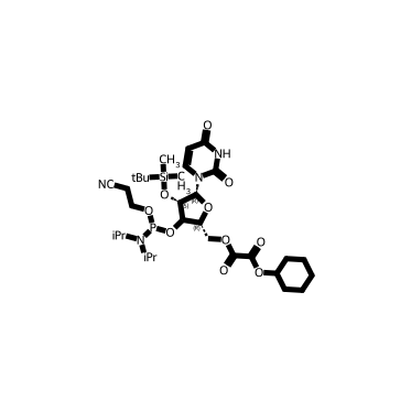 CC(C)N(C(C)C)P(OCCC#N)OC1[C@@H](COC(=O)C(=O)OC2CCCCC2)O[C@@H](n2ccc(=O)[nH]c2=O)[C@H]1O[Si](C)(C)C(C)(C)C